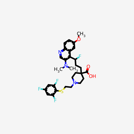 COc1ccc2ncc(N(C)C)c(C(F)CCC3(C(=O)O)CCN(CCSc4c(F)cc(F)cc4F)CC3)c2c1